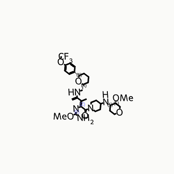 C=C(NC[C@H]1CCC[C@@H](c2ccc(OC(F)(F)F)cc2)O1)/C(C)=C(\N=C(/N)OC)C(=O)N1CCC(N[C@H]2CCOC[C@H]2OC)CC1